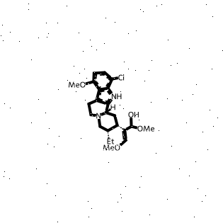 CC[C@@H]1CN2CCc3c([nH]c4c(Cl)ccc(OC)c34)[C@@H]2C[C@@H]1/C(=C\OC)C(O)OC